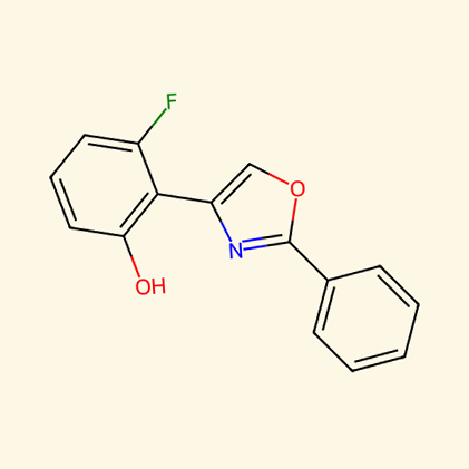 Oc1cccc(F)c1-c1coc(-c2ccccc2)n1